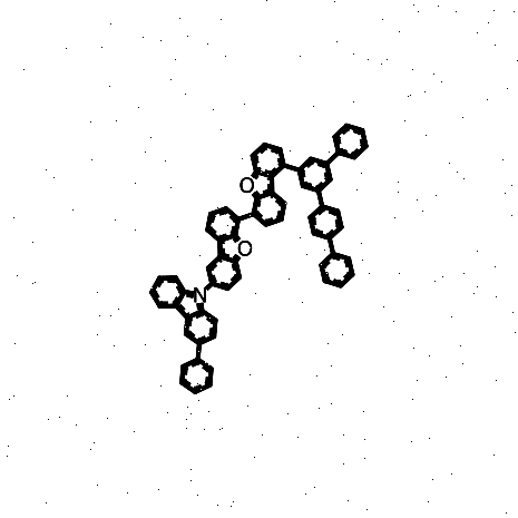 c1ccc(-c2ccc(-c3cc(-c4ccccc4)cc(-c4cccc5oc6c(-c7cccc8c7oc7ccc(-n9c%10ccccc%10c%10cc(-c%11ccccc%11)ccc%109)cc78)cccc6c45)c3)cc2)cc1